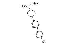 CCCCCCC(C)C1CCC(c2ccc(-c3ccc(C#N)cc3)cc2)CC1